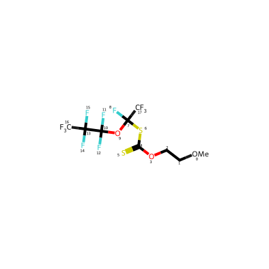 COCCOC(=S)SC(F)(OC(F)(F)C(F)(F)C(F)(F)F)C(F)(F)F